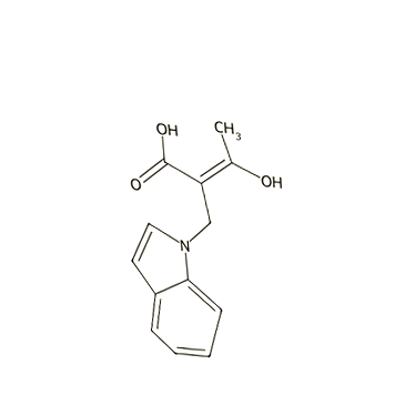 CC(O)=C(Cn1ccc2ccccc21)C(=O)O